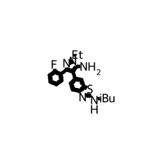 CCC(C)Nc1nc2ccc(-c3c(-c4ccccc4F)nn(CC)c3N)cc2s1